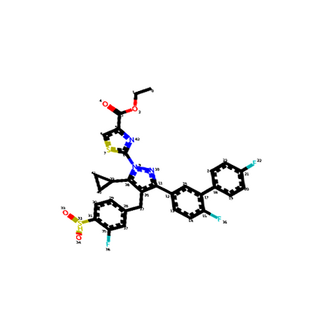 CCOC(=O)c1csc(-n2nc(-c3ccc(F)c(-c4ccc(F)cc4)c3)c(Cc3ccc([SH](=O)=O)c(F)c3)c2C2CC2)n1